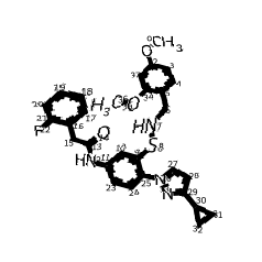 COc1ccc(CNSc2cc(NC(=O)Cc3ccccc3F)ccc2-n2ccc(C3CC3)n2)c(OC)c1